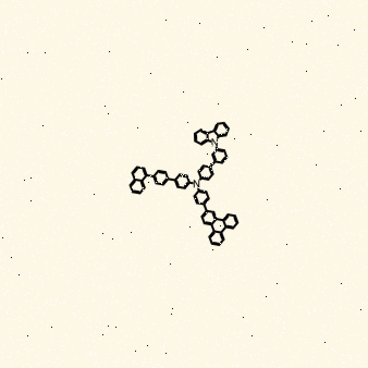 c1cc(-c2ccc(N(c3ccc(-c4ccc(-c5cccc6ccccc56)cc4)cc3)c3ccc(-c4ccc5c6ccccc6c6ccccc6c5c4)cc3)cc2)cc(-n2c3ccccc3c3ccccc32)c1